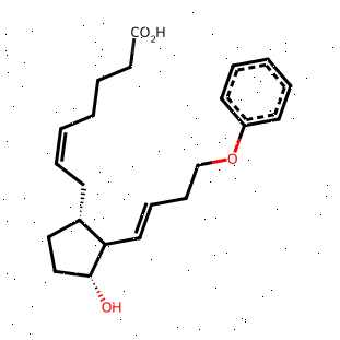 O=C(O)CCC/C=C\C[C@H]1CC[C@@H](O)C1/C=C/CCOc1ccccc1